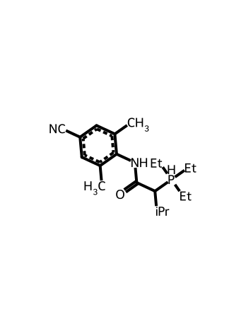 CC[PH](CC)(CC)C(C(=O)Nc1c(C)cc(C#N)cc1C)C(C)C